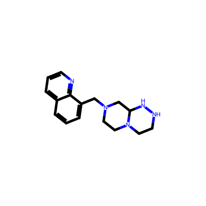 c1cnc2c(CN3CCN4CCNNC4C3)cccc2c1